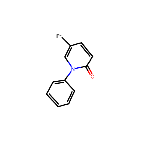 CC(C)c1ccc(=O)n(-c2ccccc2)c1